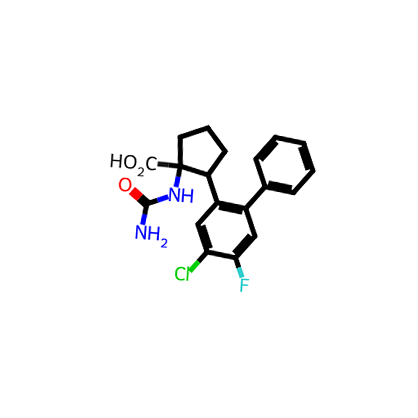 NC(=O)NC1(C(=O)O)CCCC1c1cc(Cl)c(F)cc1-c1ccccc1